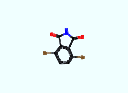 O=C1NC(=O)c2c(Br)ccc(Br)c21